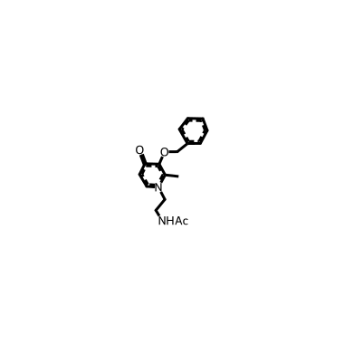 CC(=O)NCCn1ccc(=O)c(OCc2ccccc2)c1C